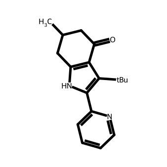 CC1CC(=O)c2c([nH]c(-c3ccccn3)c2C(C)(C)C)C1